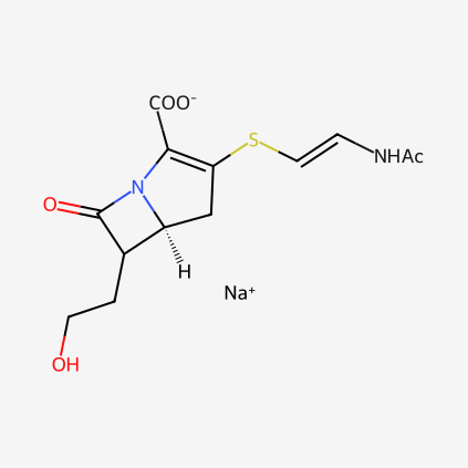 CC(=O)NC=CSC1=C(C(=O)[O-])N2C(=O)C(CCO)[C@@H]2C1.[Na+]